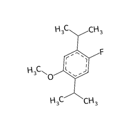 COc1cc(C(C)C)c(F)cc1C(C)C